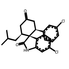 CC(C)C[C@H]1CC(=O)C[C@@H](c2cccc(Cl)c2)[C@]12C(=O)Nc1cc(Cl)ccc12